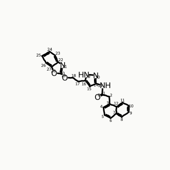 O=C(Cc1cccc2ccccc12)Nc1cc(CCOc2nc3ccccc3o2)[nH]n1